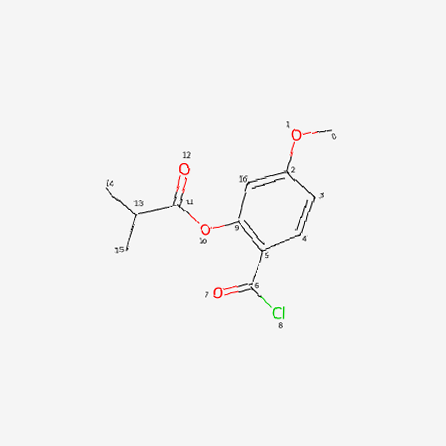 COc1ccc(C(=O)Cl)c(OC(=O)C(C)C)c1